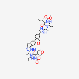 CC[C@H](C)C(NC(=O)OC)C(=O)N([C@@H](C)CC)[C@@H](C)c1ncc(-c2ccc3c(c2)COc2cc4c(ccc5nc([C@H](C)N(C(=O)[C@@H](NC(=O)OC)C6CCOCC6)[C@@H](C)CC)[nH]c54)cc2-3)[nH]1